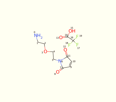 NCCOCCN1C(=O)C=CC1=O.O=C(O)C(F)(F)F